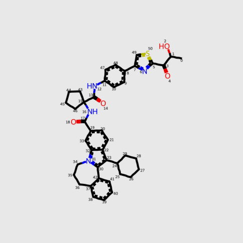 CC(O)C(=O)c1nc(-c2ccc(NC(=O)C3(NC(=O)c4ccc5c(C6CCCCC6)c6n(c5c4)CCCc4ccccc4-6)CCCC3)cc2)cs1